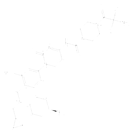 COc1cc(-n2ccc(NC(=O)N3CCN(C(=O)C(C)(C)N)CC3)nc2=O)ccc1CN(CC1CC1)[C@H]1CC[C@H](N)CC1